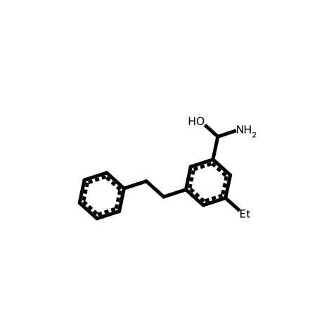 CCc1cc(CCc2ccccc2)cc(C(N)O)c1